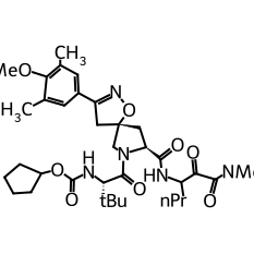 CCCC(NC(=O)[C@@H]1C[C@]2(CC(c3cc(C)c(OC)c(C)c3)=NO2)CN1C(=O)[C@@H](NC(=O)OC1CCCC1)C(C)(C)C)C(=O)C(=O)NC